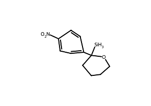 O=[N+]([O-])c1ccc(C2([SiH3])CCCCO2)cc1